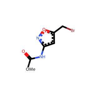 COC(=O)Nc1cc(CBr)on1